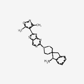 Cc1noc(C)c1-c1nc2nc(N3CCC4(CC3)Cc3ccccc3[C@H]4N)ncc2s1